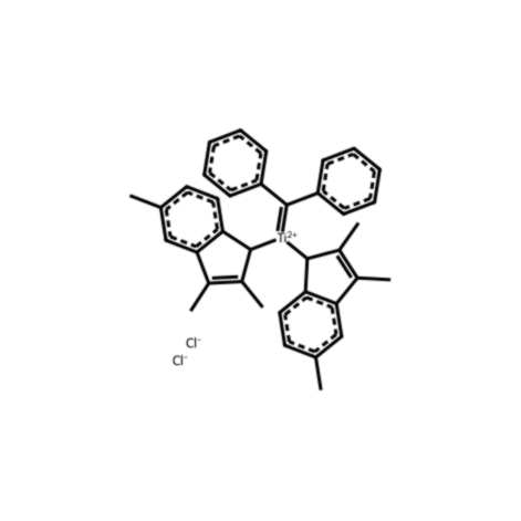 CC1=C(C)[CH]([Ti+2](=[C](c2ccccc2)c2ccccc2)[CH]2C(C)=C(C)c3cc(C)ccc32)c2ccc(C)cc21.[Cl-].[Cl-]